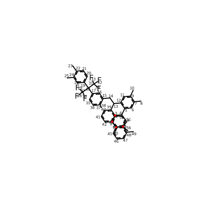 Cc1ccc(-c2cc(C)c(C)cc2C(Cc2cc(C(c3ccc(C)c(C)c3)(C(F)(F)F)C(F)(F)F)ccc2C)c2cccc(-c3cccc(C)c3C)c2C)cc1C